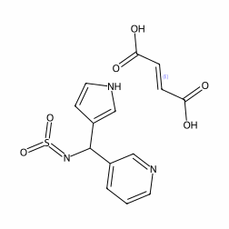 O=C(O)/C=C/C(=O)O.O=S(=O)=NC(c1cccnc1)c1cc[nH]c1